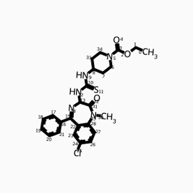 CCOC(=O)N1CCC(NC(=S)NC2N=C(c3ccccc3)c3cc(Cl)ccc3N(C)C2=O)CC1